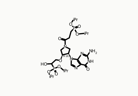 CC(C)OP(=O)(CCC(=O)N1C[C@H](OCC(O)P(=O)(OC(C)C)OC(C)C)[C@H](n2cnc3c(=O)[nH]c(N)nc32)C1)OC(C)C